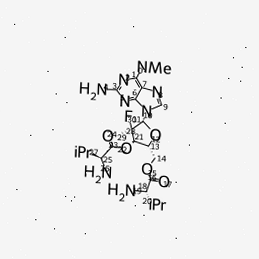 CNc1nc(N)nc2c1ncn2[C@@H]1O[C@H](COC(=O)[C@@H](N)C(C)C)[C@@H](OC(=O)[C@@H](N)C(C)C)[C@@]1(C)F